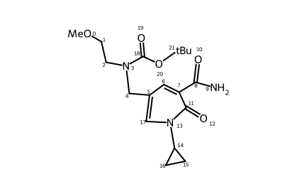 COCCN(Cc1cc(C(N)=O)c(=O)n(C2CC2)c1)C(=O)OC(C)(C)C